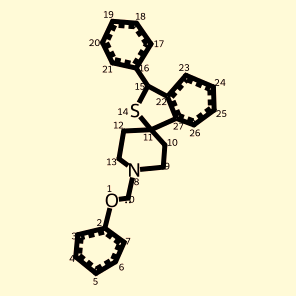 [C](Oc1ccccc1)N1CCC2(CC1)SC(c1ccccc1)c1ccccc12